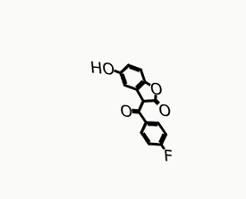 O=C1Oc2ccc(O)cc2C1C(=O)c1ccc(F)cc1